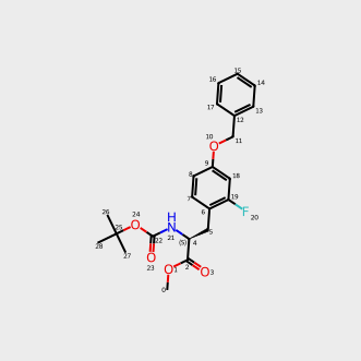 COC(=O)[C@H](Cc1ccc(OCc2ccccc2)cc1F)NC(=O)OC(C)(C)C